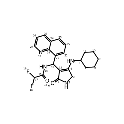 O=C1NCC(NC2CCCCC2)=C1C(NC(=O)C(F)F)c1cccc2cccnc12